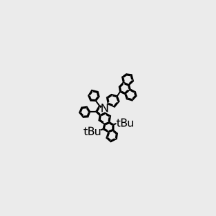 CC(C)(C)c1c2ccccc2c(C(C)(C)C)c2cc3c(cc12)c(-c1ccccc1)c(-c1ccccc1)n3-c1ccc(-c2cc3ccccc3c3ccccc23)cc1